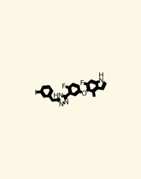 Cc1c(Oc2ccc(F)c(-c3nnc(Cc4cccc(I)c4)[nH]3)c2)c(F)cc2[nH]ccc12